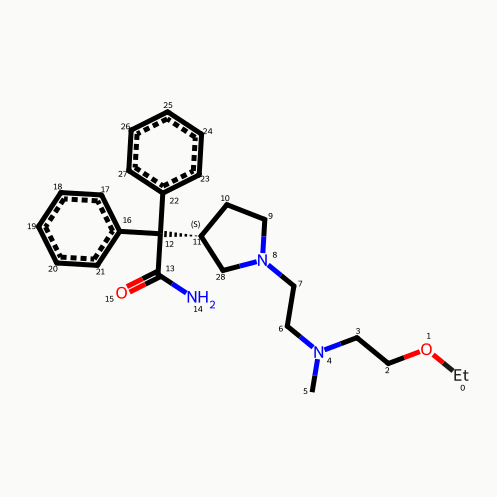 CCOCCN(C)CCN1CC[C@@H](C(C(N)=O)(c2ccccc2)c2ccccc2)C1